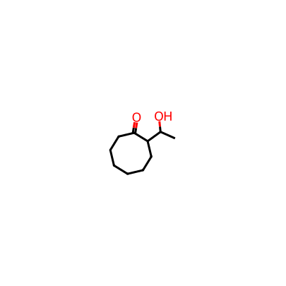 CC(O)C1CCCCCCC1=O